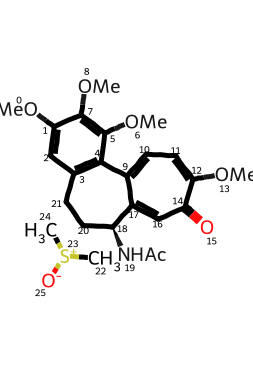 COc1cc2c(c(OC)c1OC)-c1ccc(OC)c(=O)cc1[C@@H](NC(C)=O)CC2.C[S+](C)[O-]